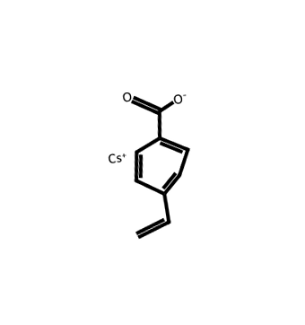 C=Cc1ccc(C(=O)[O-])cc1.[Cs+]